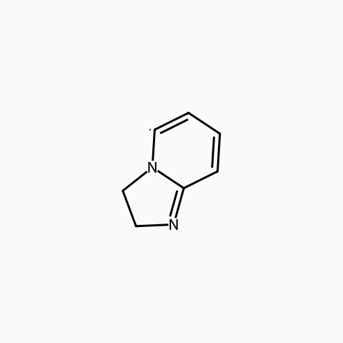 [C]1=CC=CC2=NCCN12